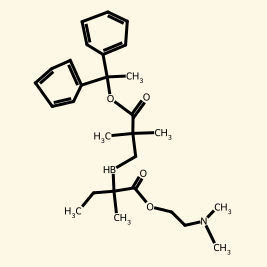 CCC(C)(BCC(C)(C)C(=O)OC(C)(c1ccccc1)c1ccccc1)C(=O)OCCN(C)C